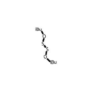 CCC(C)OSSOC(C)CC